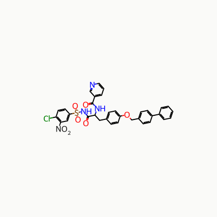 O=C(NC(Cc1ccc(OCc2ccc(-c3ccccc3)cc2)cc1)C(=O)NS(=O)(=O)c1ccc(Cl)c([N+](=O)[O-])c1)c1cccnc1